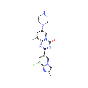 Cc1cn2cc(-c3nc(=O)n4cc(N5CCNCC5)cc(C)c4n3)cc(F)c2n1